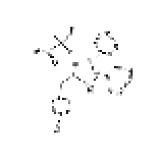 Clc1ccc(CC2=N[C@H](c3ccccc3)[C@H](c3ccccc3)N2)cc1.O=C(O)C(F)(F)F